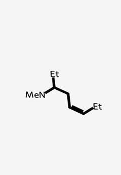 CC/C=C\CC(CC)NC